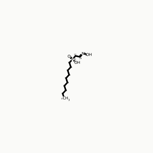 CCCCCCCCCCP(=O)(O)CC=NO